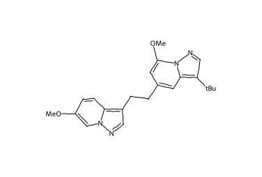 COc1ccc2c(CCc3cc(OC)n4ncc(C(C)(C)C)c4c3)cnn2c1